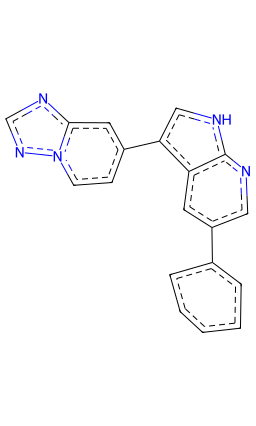 c1ccc(-c2cnc3[nH]cc(-c4ccn5ncnc5c4)c3c2)cc1